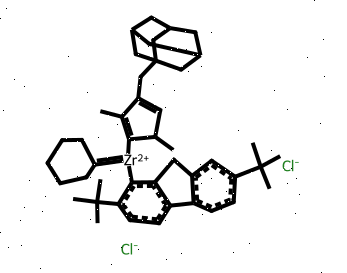 CC1=[C]([Zr+2](=[C]2CCCCC2)[c]2c(C(C)(C)C)ccc3c2Cc2cc(C(C)(C)C)ccc2-3)C(C)C=C1CC12CC3CC(CC(C3)C1)C2.[Cl-].[Cl-]